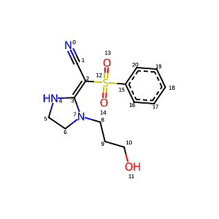 N#C/C(=C1\NCCN1CCCO)S(=O)(=O)c1ccccc1